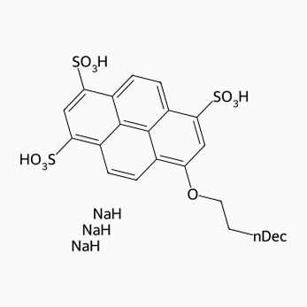 CCCCCCCCCCCCOc1cc(S(=O)(=O)O)c2ccc3c(S(=O)(=O)O)cc(S(=O)(=O)O)c4ccc1c2c43.[NaH].[NaH].[NaH]